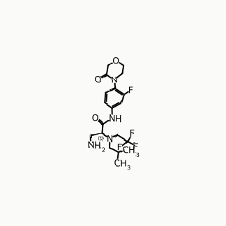 CC(C)CN(CC(F)(F)F)[C@@H](CN)C(=O)Nc1ccc(N2CCOCC2=O)c(F)c1